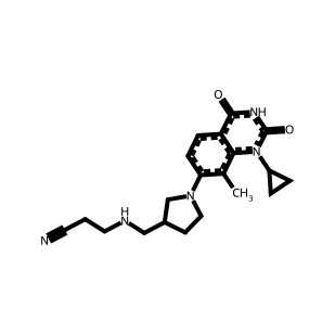 Cc1c(N2CCC(CNCCC#N)C2)ccc2c(=O)[nH]c(=O)n(C3CC3)c12